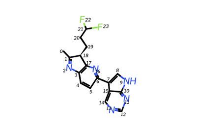 CC1=Nc2ccc(-c3c[nH]c4ncncc34)nc2[C@@H]1CCC(F)F